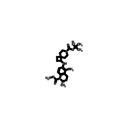 COC(=O)N1c2ccc(NC3CCC34CCN(C(=O)OC(C)(C)C)CC4)c(N)c2CC[C@@H]1C